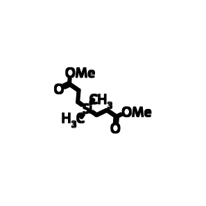 COC(=O)CC[Si](C)(C)CCC(=O)OC